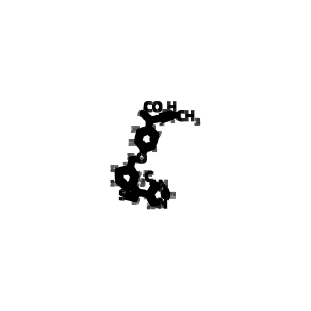 CC#CC(CC(=O)O)c1ccc(OCc2ccc3scc(-c4cncnc4C)c3c2)cc1